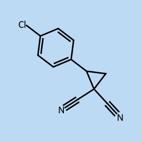 N#CC1(C#N)CC1c1ccc(Cl)cc1